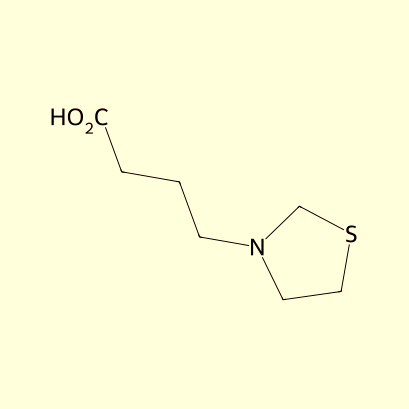 O=C(O)CCCN1CCSC1